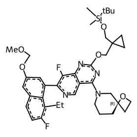 CCc1c(F)ccc2cc(OCOC)cc(-c3ncc4c(N5CCC[C@@]6(CCO6)C5)nc(OCC5(CO[Si](C)(C)C(C)(C)C)CC5)nc4c3F)c12